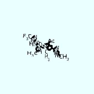 CC(=O)c1cn(CC(=O)N2[C@H](I)[C@@H](C)C[C@H]2C(=O)Nc2cncc(C(F)(F)F)n2)c2c(C)cc(-c3cnc4cc(C)nn4c3)cc12